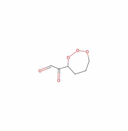 O=CC(=O)C1CCCOOO1